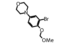 COCOc1ccc(N2CCOCC2)cc1Br